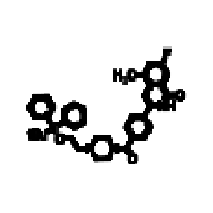 Cc1cc(F)cc2c(=O)[nH]c(-c3ccc(C(=O)N4CCN(CCO[Si](c5ccccc5)(c5ccccc5)C(C)(C)C)CC4)cc3)cc12